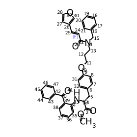 COC(=O)[C@H](Cc1ccc(OCCCN(Cc2ccccc2)C(=O)/C=C/c2ccoc2)cc1)Nc1ccccc1C(=O)c1ccccc1